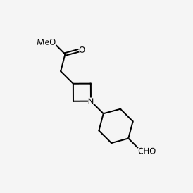 COC(=O)CC1CN(C2CCC(C=O)CC2)C1